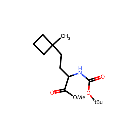 COC(=O)C(CCC1(C)CCC1)NC(=O)OC(C)(C)C